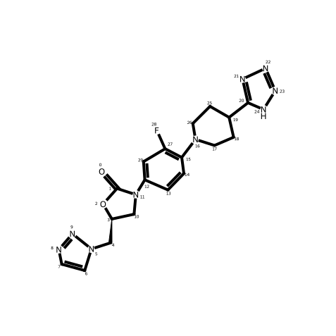 O=C1O[C@H](Cn2ccnn2)CN1c1ccc(N2CCC(c3nnn[nH]3)CC2)c(F)c1